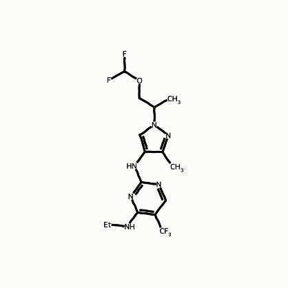 CCNc1nc(Nc2cn(C(C)COC(F)F)nc2C)ncc1C(F)(F)F